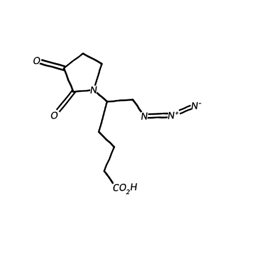 [N-]=[N+]=NCC(CCCC(=O)O)N1CCC(=O)C1=O